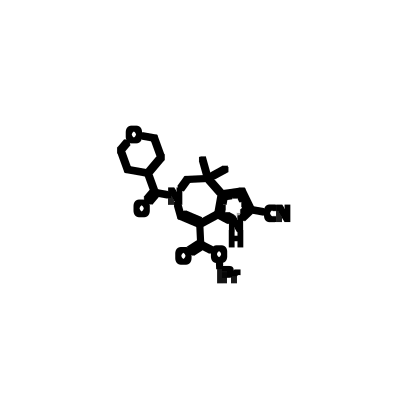 CC(C)OC(=O)C1=CN(C(=O)C2CCOCC2)CC(C)(C)c2cc(C#N)[nH]c21